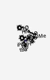 COC(=O)C(CCCNC(=O)OCc1ccccc1)NC(=O)C1CCCN1C(=O)[C@H](/C=C/[C@H](CC(C)C)NC(=O)OC(C)(C)C)Cc1ccccc1